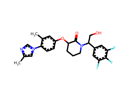 Cc1cn(-c2ccc(OC3CCCN(C(CO)c4cc(F)c(F)c(F)c4)C3=O)cc2C)cn1